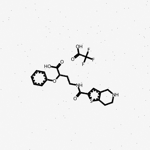 O=C(NCCC(Oc1ccccc1)C(=O)O)c1cc2c(s1)CCNC2.O=C(O)C(F)(F)F